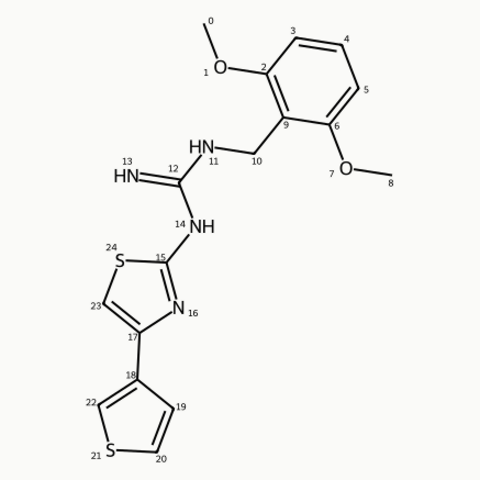 COc1cccc(OC)c1CNC(=N)Nc1nc(-c2ccsc2)cs1